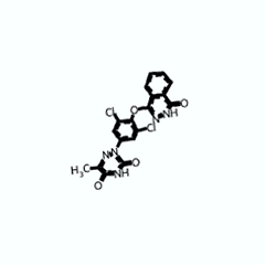 Cc1nn(-c2cc(Cl)c(Oc3n[nH]c(=O)c4ccccc34)c(Cl)c2)c(=O)[nH]c1=O